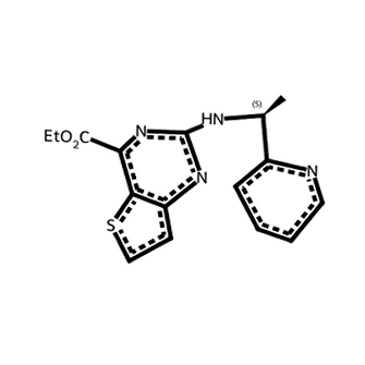 CCOC(=O)c1nc(N[C@@H](C)c2ccccn2)nc2ccsc12